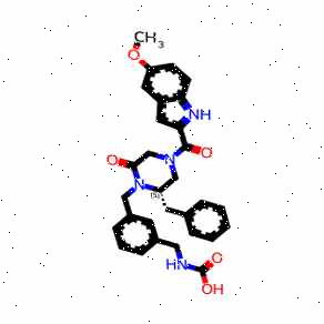 COc1ccc2[nH]c(C(=O)N3CC(=O)N(Cc4cccc(CNC(=O)O)c4)[C@@H](Cc4ccccc4)C3)cc2c1